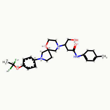 CC1=CC=C(NC(=O)CC(CO)N2CCOC3(CCN(c4ccc(OC(C)(F)F)cc4)C3)C2)CC1